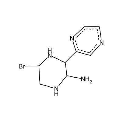 NC1NCC(Br)NC1c1cnccn1